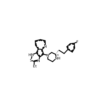 CCC1=Nc2c(c3ccccnc-3c2N2CCN[C@@H](CCc3ccc(F)cc3)C2)NS1